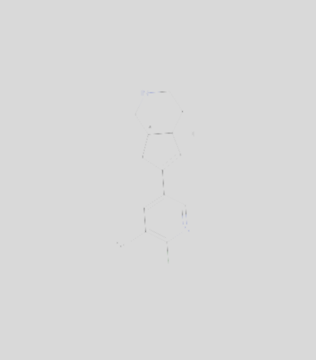 N#Cc1cc(C2=C[C@@H]3CCNC[C@@H]3C2)cnc1Cl